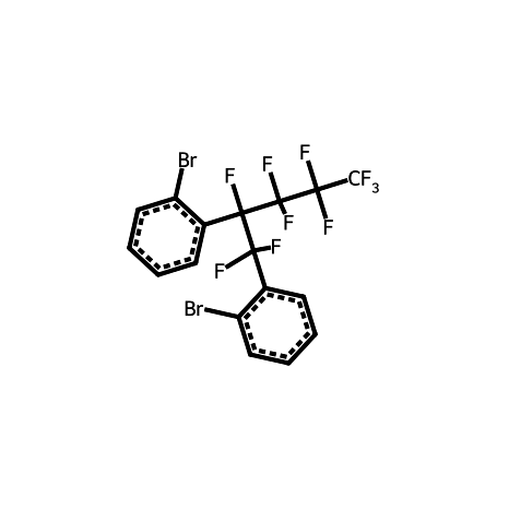 FC(F)(F)C(F)(F)C(F)(F)C(F)(c1ccccc1Br)C(F)(F)c1ccccc1Br